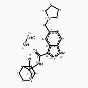 O=C(N[C@@H]1CN2CCC1CC2)c1n[nH]c2ccc(CN3CCCC3)cc12.O=CO